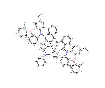 CCc1ccc(N(c2cc3c(c4ccccc24)-c2c(cc(N(c4ccc(CC)cc4)c4cccc5c4oc4c(C)cccc45)c4ccccc24)C32c3ccccc3N(c3ccccc3)c3ccccc32)c2cccc3c2oc2c(C)cccc23)cc1